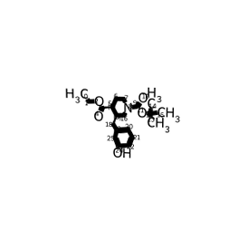 CCOC(=O)[C@H]1CCN(C(=O)OC(C)(C)C)C[C@H]1Cc1cccc(O)c1